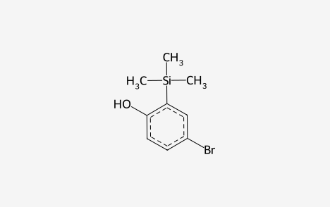 C[Si](C)(C)c1cc(Br)ccc1O